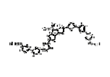 CCCCCCCCC1(CCCCCCCC)c2cc(-c3ccc(-c4ccc(-c5ncc(CCCCCCC)s5)s4)s3)sc2-c2sc(-c3ccc(-c4ccc(-c5ncc(CCCCCCC)s5)s4)s3)cc21